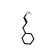 [CH2]/C=C/CC1CCCCC1